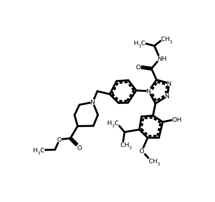 CCOC(=O)C1CCN(Cc2ccc(-n3c(C(=O)NC(C)C)nnc3-c3cc(C(C)C)c(OC)cc3O)cc2)CC1